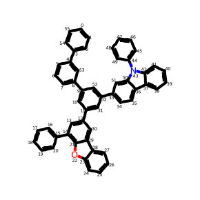 c1ccc(-c2cccc(-c3cc(-c4cc(-c5ccccc5)c5oc6ccccc6c5c4)cc(-c4ccc5c6ccccc6n(-c6ccccc6)c5c4)c3)c2)cc1